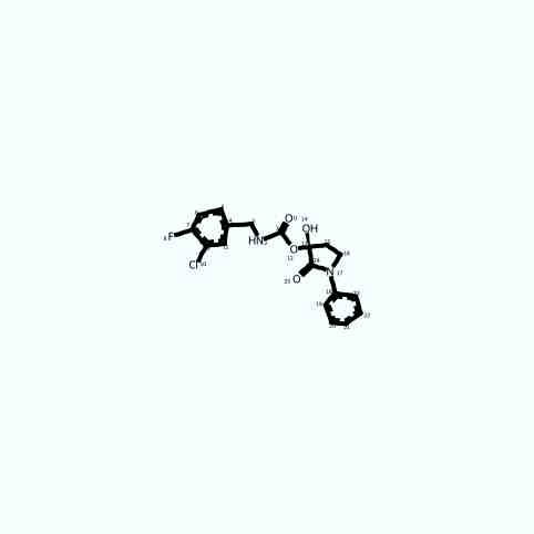 O=C(NCc1ccc(F)c(Cl)c1)O[C@]1(O)CCN(c2ccccc2)C1=O